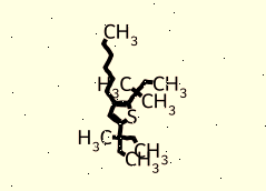 CCCCCCc1cc(C(C)(CC)CC)sc1C(C)(C)CC